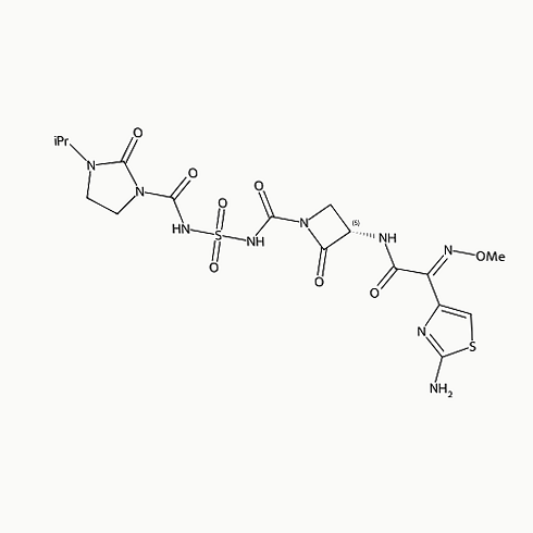 CON=C(C(=O)N[C@H]1CN(C(=O)NS(=O)(=O)NC(=O)N2CCN(C(C)C)C2=O)C1=O)c1csc(N)n1